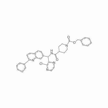 O=C(NC(c1ccc2ccc(-c3ccccc3)nc2c1)c1nccnc1Cl)C1CCN(C(=O)OCc2ccccc2)CC1